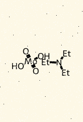 CCN(CC)CC.[O]=[Mo](=[O])([OH])[OH]